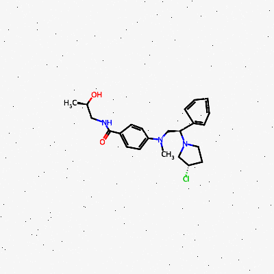 C[C@@H](O)CNC(=O)c1ccc(N(C)C[C@@H](c2ccccc2)N2CC[C@H](Cl)C2)cc1